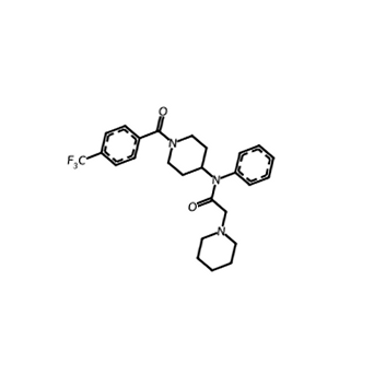 O=C(c1ccc(C(F)(F)F)cc1)N1CCC(N(C(=O)CN2CCCCC2)c2ccccc2)CC1